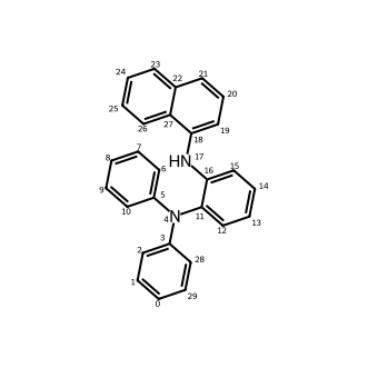 c1ccc(N(c2ccccc2)c2ccccc2Nc2cccc3ccccc23)cc1